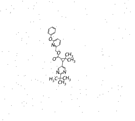 CC(C)(C)c1ncc(C2C(C(=O)OCc3cccc(Oc4ccccc4)n3)C2(C)C)cn1